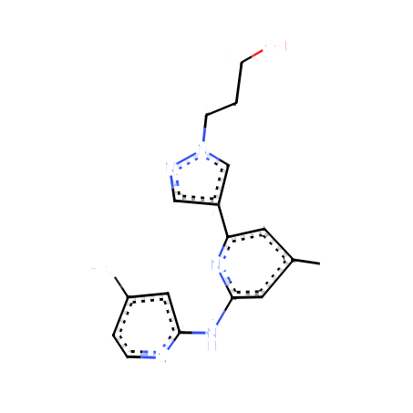 Cc1cc(Nc2cc(C(F)(F)F)ccn2)nc(-c2cnn(CCCO)c2)c1